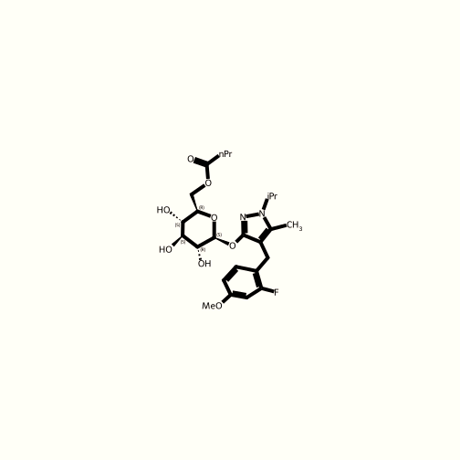 CCCC(=O)OC[C@H]1O[C@@H](Oc2nn(C(C)C)c(C)c2Cc2ccc(OC)cc2F)[C@H](O)[C@@H](O)[C@@H]1O